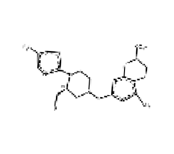 Cc1cc(CN2CCN(c3ccc(C(F)(F)F)cn3)[C@H](CC(C)C)C2)cc2c1CCC(C(=O)O)O2